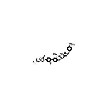 COc1ccc(Cn2cc(CN(Cc3ccc(-c4ccc(N5C[C@H](CN(C)C(C)=O)OC5=O)cc4F)cc3)C(=O)OC(C)(C)C)nn2)cc1